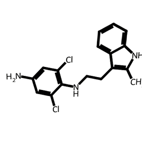 Cc1[nH]c2ccccc2c1CCNc1c(Cl)cc(N)cc1Cl